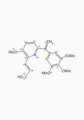 C=C(c1cc(OC)c(OC)c(OC)c1)c1ccc(OC)c(C=CC(=O)O)n1